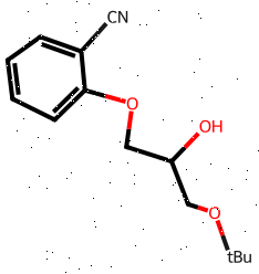 CC(C)(C)OCC(O)COc1ccccc1C#N